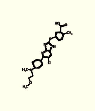 COCCN(C)c1ccc(-c2nc3nc(Oc4ccc(C)c(C(=O)O)c4)[nH]c3cc2Cl)cc1